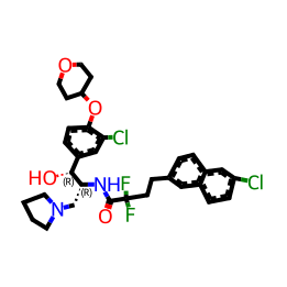 O=C(N[C@H](CN1CCCC1)[C@H](O)c1ccc(OC2CCOCC2)c(Cl)c1)C(F)(F)CCc1ccc2cc(Cl)ccc2c1